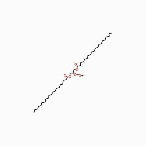 CCCCCCCCCCCCCCCCCCCC(=O)OCC(COC(=O)CCCCCCCCCCCCCCCCCCC)OCOC